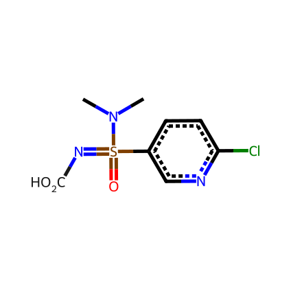 CN(C)S(=O)(=NC(=O)O)c1ccc(Cl)nc1